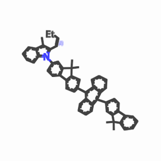 CC/C=C\c1c(C)c2ccccc2n1-c1ccc2c(c1)C(C)(C)c1cc(-c3c4ccccc4c(-c4ccc5c(c4)C(C)(C)c4ccccc4-5)c4ccccc34)ccc1-2